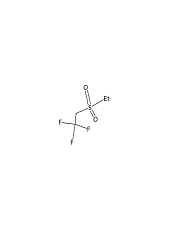 C[CH]S(=O)(=O)CC(F)(F)F